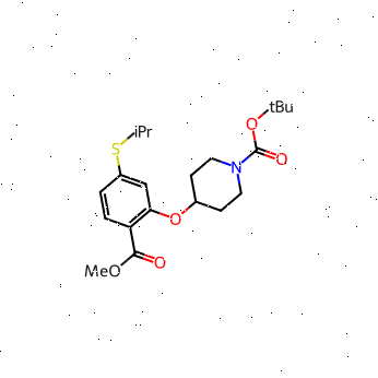 COC(=O)c1ccc(SC(C)C)cc1OC1CCN(C(=O)OC(C)(C)C)CC1